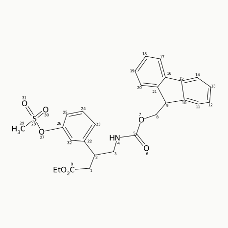 CCOC(=O)CC(CNC(=O)OCC1c2ccccc2-c2ccccc21)c1cccc(OS(C)(=O)=O)c1